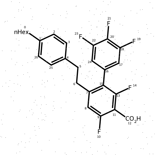 CCCCCCc1ccc(CCc2cc(F)c(C(=O)O)c(F)c2-c2cc(F)c(F)c(F)c2)cc1